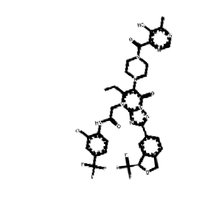 CCc1c(N2CCN(C(=O)c3ncnc(C)c3O)CC2)c(=O)n2nc(-c3ccc4c(c3)[C@H](C(F)(F)F)OC4)nc2n1CC(=O)Nc1ccc(C(F)(F)F)cc1Cl